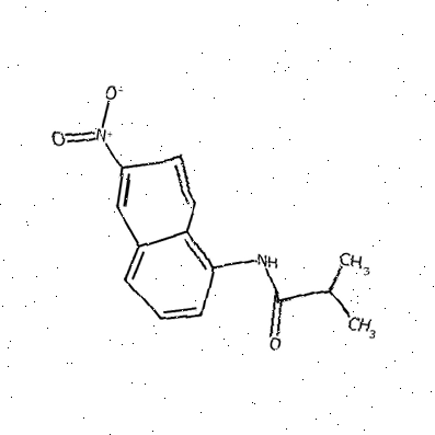 CC(C)C(=O)Nc1cccc2cc([N+](=O)[O-])ccc12